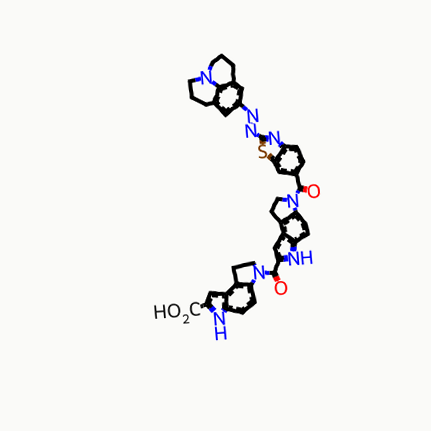 O=C(O)c1cc2c3c(ccc2[nH]1)N(C(=O)c1cc2c4c(ccc2[nH]1)N(C(=O)c1ccc2nc(/N=N/c5cc6c7c(c5)CCCN7CCC6)sc2c1)CC4)CC3